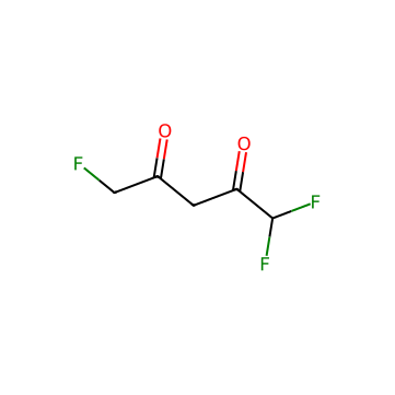 O=C(CF)CC(=O)C(F)F